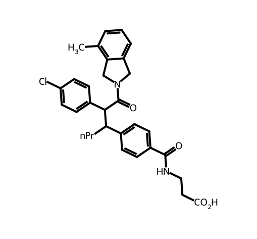 CCCC(c1ccc(C(=O)NCCC(=O)O)cc1)C(C(=O)N1Cc2cccc(C)c2C1)c1ccc(Cl)cc1